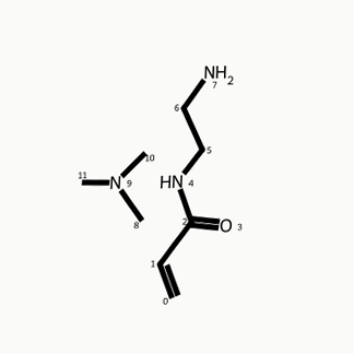 C=CC(=O)NCCN.CN(C)C